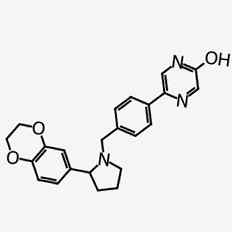 Oc1cnc(-c2ccc(CN3CCCC3c3ccc4c(c3)OCCO4)cc2)cn1